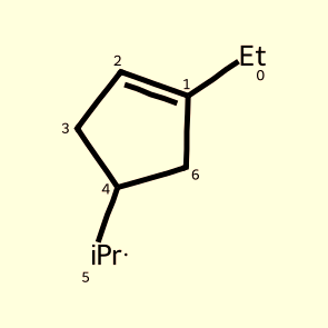 CCC1=CCC([C](C)C)C1